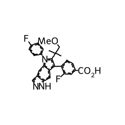 COCC(C)(C)c1c(-c2ccc(C(=O)O)cc2F)c2cc3[nH]ncc3cc2n1-c1ccc(F)cc1